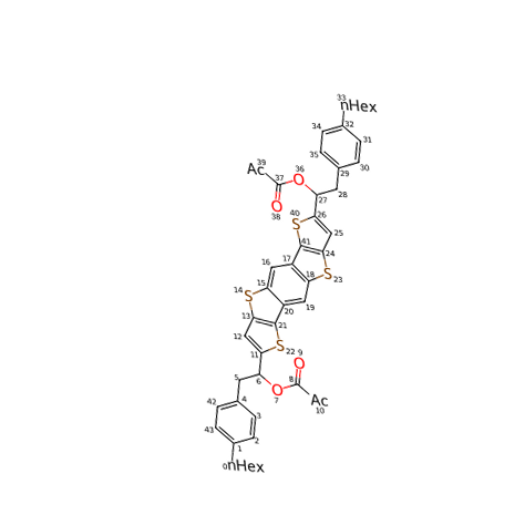 CCCCCCc1ccc(CC(OC(=O)C(C)=O)c2cc3sc4cc5c(cc4c3s2)sc2cc(C(Cc3ccc(CCCCCC)cc3)OC(=O)C(C)=O)sc25)cc1